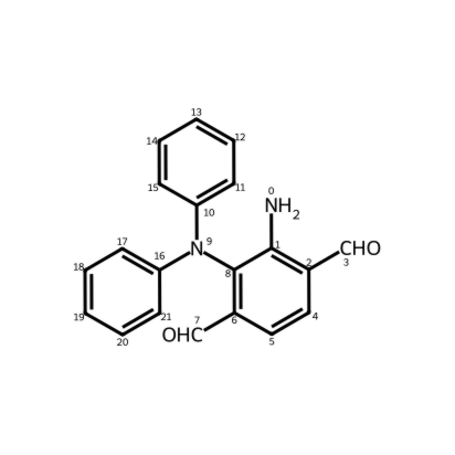 Nc1c(C=O)ccc(C=O)c1N(c1ccccc1)c1ccccc1